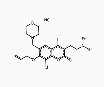 C=CCOc1c(CN2CCOCC2)cc2c(C)c(CCN(CC)CC)c(=O)oc2c1Cl.Cl